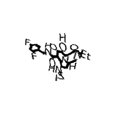 CCN1C[C@H]2C[C@@H](NSI)c3c(C(=O)NCc4ccc(F)cc4F)c(=O)c(O)c(n32)C1=O